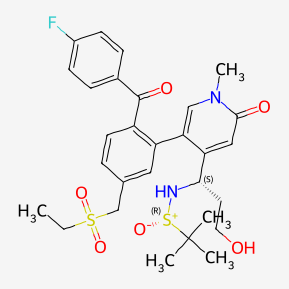 CCS(=O)(=O)Cc1ccc(C(=O)c2ccc(F)cc2)c(-c2cn(C)c(=O)cc2[C@H](CCO)N[S@@+]([O-])C(C)(C)C)c1